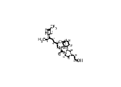 C=C/C(=C\C=C(/C)CN(C(=O)N1CCN(CCO)CC1)c1ccccc1)c1nnc(C(F)(F)F)o1